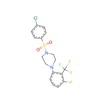 O=S(=O)(c1ccc(Cl)cc1)N1CCN(c2cccc(F)c2C(F)(F)F)CC1